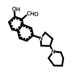 O=Cc1c(O)ccc2ccc(N3CCC(N4CCCCC4)C3)cc12